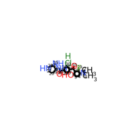 CN(C)c1ccc(O)c(C(=O)c2ccc(C(=O)N[C@@H]3CCCNC[C@H]3N)cc2)c1F.Cl